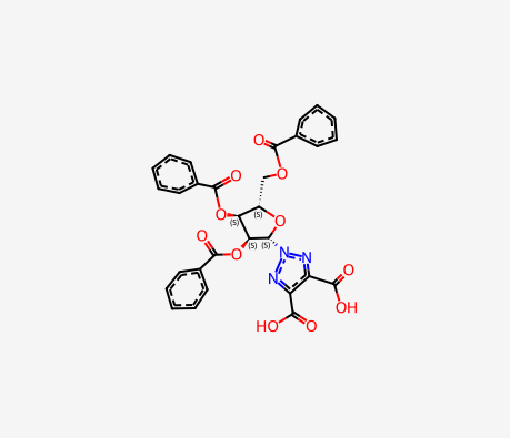 O=C(OC[C@@H]1O[C@H](n2nc(C(=O)O)c(C(=O)O)n2)[C@@H](OC(=O)c2ccccc2)[C@H]1OC(=O)c1ccccc1)c1ccccc1